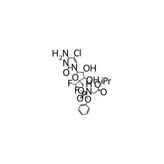 CC(C)OC(=O)[C@H](C)NP(=O)(OC[C@@]1(C(F)F)O[C@@H](n2cc(Cl)c(N)nc2=O)[C@H](O)[C@H]1O)Oc1ccccc1